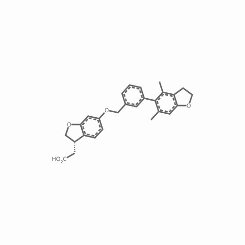 Cc1cc2c(c(C)c1-c1cccc(COc3ccc4c(c3)OC[C@H]4CC(=O)O)c1)CCO2